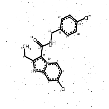 CCc1nc2cc(Cl)ccn2c1C(=O)NCc1ccc(Cl)cc1